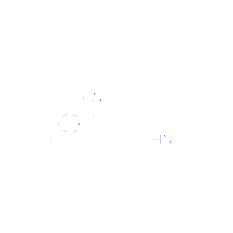 CCNC[C@H]1CC[C@H](CCN(C)S(=O)(=O)c2ccc(Cl)cc2)CC1